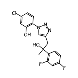 CC(O)(Cc1cn(-c2ccc(Cl)cc2O)nn1)c1ccc(F)cc1F